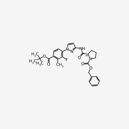 Cc1c(C(=O)OC(C)(C)C)ccc(-n2ccc(NC(=O)[C@H]3CCCN3C(=O)OCc3ccccc3)n2)c1F